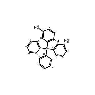 Oc1ccc(O)c([P+](c2ccccc2)(c2ccccc2)c2ccccc2)c1.[OH-]